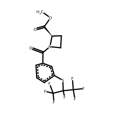 COC(=O)[C@H]1CCN1C(=O)c1cccc(SC(F)(C(F)(F)F)C(F)(F)F)c1